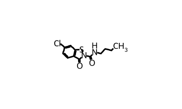 CCCCNC(=O)n1sc2cc(Cl)ccc2c1=O